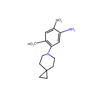 Nc1cc(N2CCC3(CC2)CC3)c(C(=O)O)cc1[N+](=O)[O-]